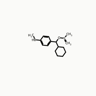 C=S(C)OC(c1ccc(BC)cc1)C1CCCCC1